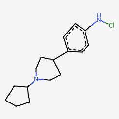 ClNc1ccc(C2CCN(C3CCCC3)CC2)cc1